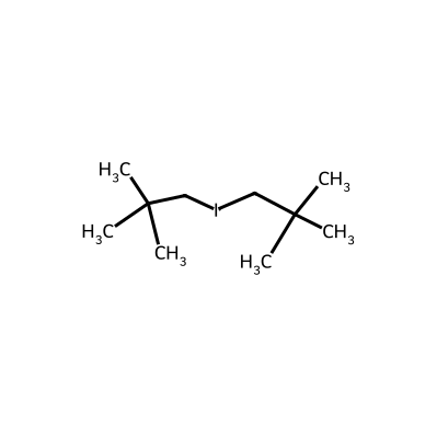 CC(C)(C)C[I]CC(C)(C)C